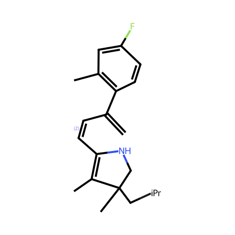 C=C(/C=C\C1=C(C)C(C)(CC(C)C)CN1)c1ccc(F)cc1C